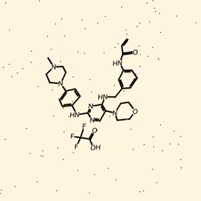 C=CC(=O)Nc1cccc(CNc2nc(Nc3ccc(N4CCN(C)CC4)cc3)ncc2N2CCOCC2)c1.O=C(O)C(F)(F)F